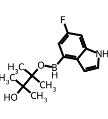 CC(C)(O)C(C)(C)OBc1cc(F)cc2[nH]ccc12